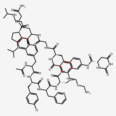 CC(=O)NC(Cc1ccc2ccccc2c1)C(=O)N[C@H](Cc1ccc(Cl)cc1)C(=O)NC(Cc1cccnc1)C(=O)N[C@@H](CO)C(=O)N[C@@H](Cc1ccc(NC(=O)[C@@H]2CC(=O)NC(=O)N2)cc1)C(=O)N[C@H](Cc1ccc(NCOCN)cc1)C(=O)NCC(=O)NC(CCCCNC(C)C)C(=O)N1C(CC(C)C)CC[C@H]1C(=O)NCC(N)=O